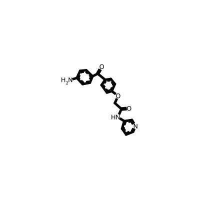 Nc1ccc(C(=O)c2ccc(OCC(=O)Nc3cccnc3)cc2)cc1